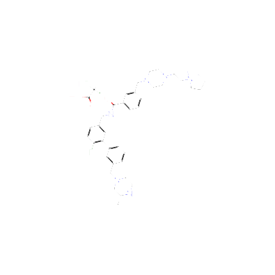 C[C@H]1CN(Cc2cccc(-c3cc(CNC(=O)c4cccc(CN5CCN(CC[N+]6(C)CCCC6)CC5)c4)ccc3F)c2)CCN1.O=C(O)C(F)(F)F.[I-]